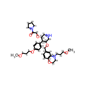 COCCCOc1ccc(C2[C@@H](OCc3ccc4c(c3)N(CCCOC)CCO4)CNC[C@H]2OCC(=O)N2CCCC2)cc1